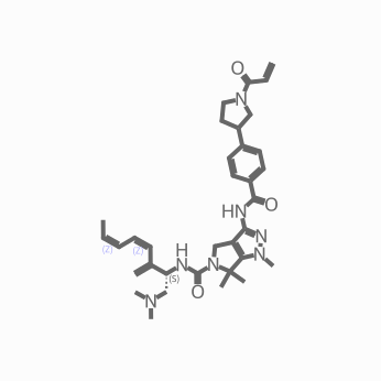 C=CC(=O)N1CCC(c2ccc(C(=O)Nc3nn(C)c4c3CN(C(=O)N[C@H](CN(C)C)C(=C)/C=C\C=C/C)C4(C)C)cc2)C1